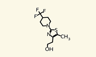 Cc1sc(N2CCC(C(F)(F)F)CC2)nc1CCO